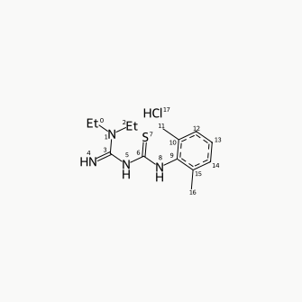 CCN(CC)C(=N)NC(=S)Nc1c(C)cccc1C.Cl